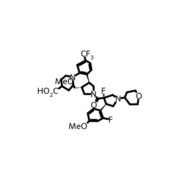 COC[C@H]1CN(C(=O)[C@]2(F)CN(C3CCOCC3)C[C@H]2c2ccc(OC)cc2F)C[C@@H]1c1ccc(C(F)(F)F)cc1N1CCC(C(=O)O)CC1